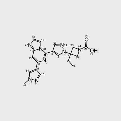 CCC1(n2cc(-c3nc(-c4cnn(C)c4)cc4nccn34)cn2)CN(C(=O)O)C1